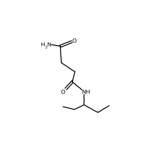 CCC(CC)NC(=O)CCC(N)=O